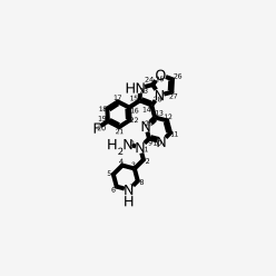 NN(CC1CCCNC1)c1nccc(C2=C(c3ccc(F)cc3)NC3OC=CN23)n1